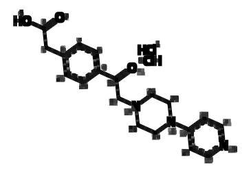 Cl.Cl.O=C(O)Cc1ccc(C(=O)CN2CCN(c3ccncc3)CC2)cc1